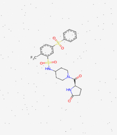 O=C1CC[C@H](C(=O)N2CCC(NS(=O)(=O)c3cc(S(=O)(=O)c4ccccc4)ccc3C(F)(F)F)CC2)N1